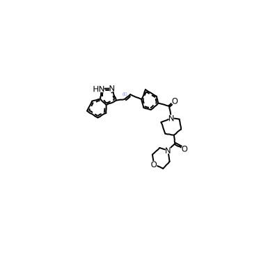 O=C(c1ccc(/C=C/c2n[nH]c3ccccc23)cc1)N1CCC(C(=O)N2CCOCC2)CC1